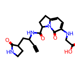 C#CC(CC1CCNC1=O)NC(=O)C1CCc2ccc(NCC(=O)O)c(=O)n21